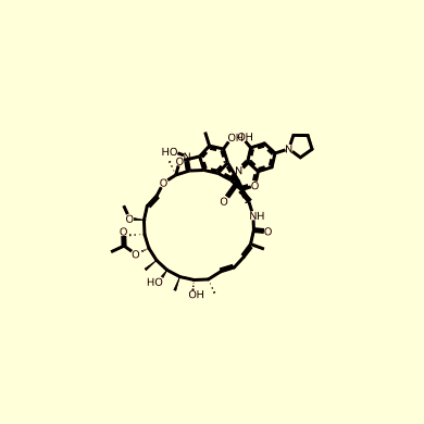 CO[C@H]1/C=C/O[C@@]2(C)Oc3c(C)c(O)c4c(=O)c(c5oc6cc(N7CCCC7)cc(O)c6nc-5c4c3/C2=N/O)NC(=O)/C(C)=C\C=C\[C@H](C)[C@H](O)[C@@H](C)[C@@H](O)[C@@H](C)[C@H](OC(C)=O)[C@@H]1C